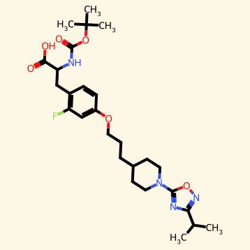 CC(C)c1noc(N2CCC(CCCOc3ccc(CC(NC(=O)OC(C)(C)C)C(=O)O)c(F)c3)CC2)n1